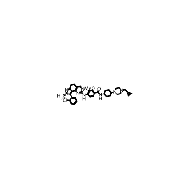 COc1cc(C(=O)N[C@H]2CC[C@H](N3CCN(CC4CC4)CC3)CC2)ccc1Nc1ncc2c(n1)-c1c(nn(C)c1-c1ccccc1Cl)CC2